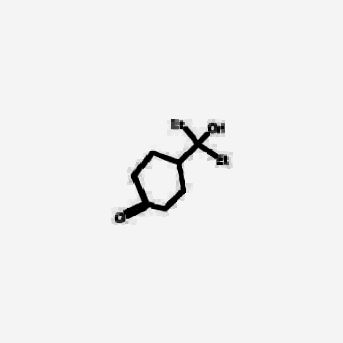 CCC(O)(CC)C1CCC(=O)CC1